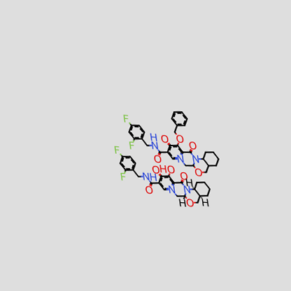 O=C(NCc1ccc(F)cc1F)c1cn2c(c(O)c1=O)C(=O)N1[C@@H](C2)OC[C@@H]2CCCC[C@@H]21.O=C(NCc1ccc(F)cc1F)c1cn2c(c(OCc3ccccc3)c1=O)C(=O)N1C(C2)OCC2CCCCC21